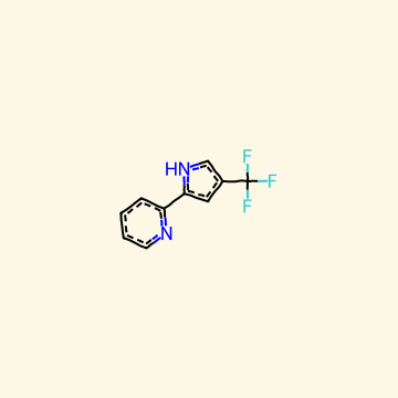 FC(F)(F)c1c[nH]c(-c2ccccn2)c1